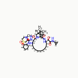 CN1CCS(=O)(=O)[C@@H](C2(NC(=O)N[C@H]3CCCCCCCCCC[C@@H](C(=O)C(=O)NC4CC4)NC(=O)[C@@H]4[C@@H]5[C@H](CN4C3=O)C5(C)C)CCCCC2)C1